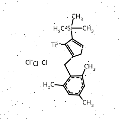 Cc1cc(C)c(CC2=[C]([Ti+3])C([Si](C)(C)C)=CC2)c(C)c1.[Cl-].[Cl-].[Cl-]